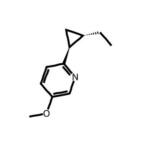 CC[C@H]1C[C@@H]1c1ccc(OC)cn1